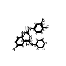 Fc1ccc2nc(Nc3ccc(F)c(F)c3)nc(NC3CCCCC3)c2c1